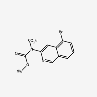 CC(C)(C)OC(=O)N(C(=O)O)c1cc2c(Br)cccc2cn1